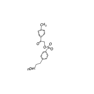 CCCCCCCCCCCCc1ccc(S(=O)(=O)OCC(=O)c2ccc(C)cc2)cc1